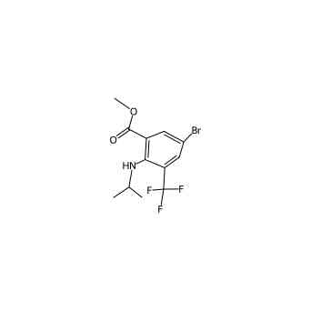 COC(=O)c1cc(Br)cc(C(F)(F)F)c1NC(C)C